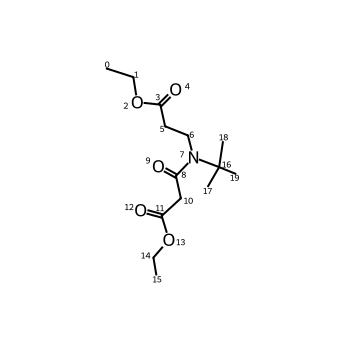 CCOC(=O)CCN(C(=O)CC(=O)OCC)C(C)(C)C